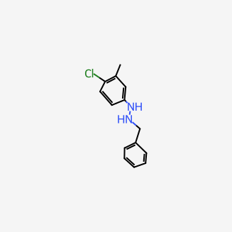 Cc1cc(NNCc2ccccc2)ccc1Cl